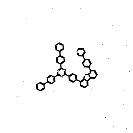 c1ccc(-c2ccc(-c3nc(-c4ccc(-c5ccccc5)cc4)nc(-c4ccc(-c5cccc6c5sc5c(-c7ccc(-c8cccnc8)cc7)cccc56)cc4)n3)cc2)cc1